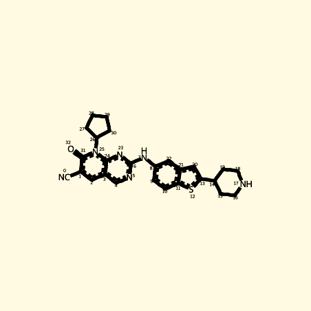 N#Cc1cc2cnc(Nc3ccc4sc(C5CCNCC5)cc4c3)nc2n(C2CCCC2)c1=O